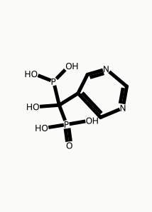 O=P(O)(O)C(O)(c1cncnc1)P(O)O